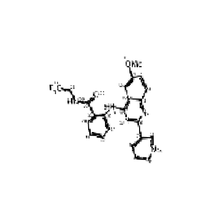 COc1ccc2nc(-c3cccnc3)nc(Nc3ccccc3C(=O)NCC(F)(F)F)c2c1